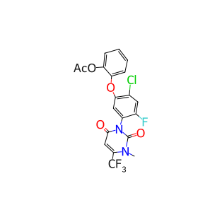 CC(=O)Oc1ccccc1Oc1cc(-n2c(=O)cc(C(F)(F)F)n(C)c2=O)c(F)cc1Cl